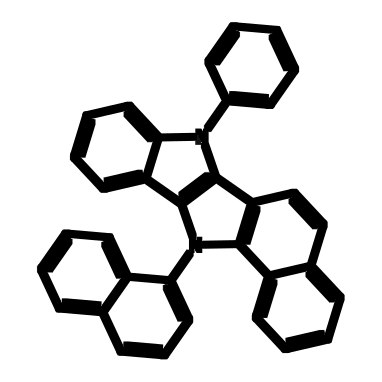 c1ccc(-n2c3ccccc3c3c2c2ccc4ccccc4c2n3-c2cccc3ccccc23)cc1